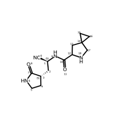 N#C[C@H](C[C@@H]1CCNC1=O)NC(=O)C1CC2(CC2)CN1